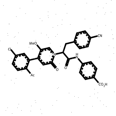 COc1cn(C(Cc2ccc(C#N)cc2)C(=O)Nc2ccc(C(=O)O)cc2)c(=O)cc1-c1cc(Cl)ccc1C(C)=O